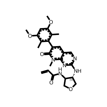 C=CC(=O)NC1COC[C@H]1Nc1ncc2cc(-c3c(C)c(OC)cc(OC)c3C)c(=O)n(C)c2n1